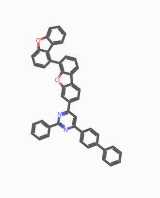 c1ccc(-c2ccc(-c3cc(-c4ccc5c(c4)oc4c(-c6cccc7oc8ccccc8c67)cccc45)nc(-c4ccccc4)n3)cc2)cc1